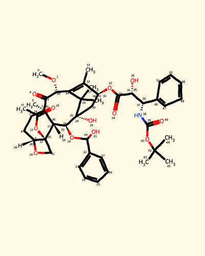 CO[C@H]1C(=O)[C@]2(C)CC[C@H]3OC[C@@]3(OC(C)=O)[C@H]2[C@H](OC(O)c2ccccc2)[C@]2(O)C[C@H](OC(=O)[C@H](O)[C@@H](NC(=O)OC(C)(C)C)c3ccccc3)C(C)=C1C2(C)C